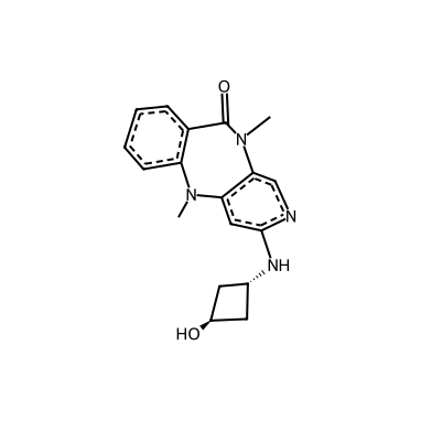 CN1C(=O)c2ccccc2N(C)c2cc(N[C@H]3C[C@H](O)C3)ncc21